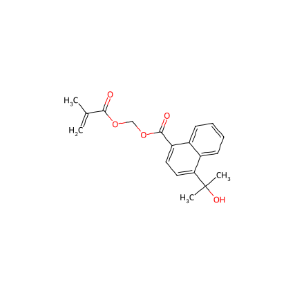 C=C(C)C(=O)OCOC(=O)c1ccc(C(C)(C)O)c2ccccc12